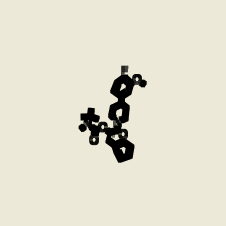 COc1cc(C2CCN(C(=O)[C@@H](Cc3ccccc3)OC(=O)N(C)C(C)(C)C)CC2)ccc1F